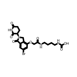 O=C(O)NCCCCNC(=O)COc1cc(Br)cc2c1CN(C1CCC(=O)NC1=O)C2=O